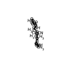 CC(CCOc1c(Cl)cc(C(C)(C)c2ccc(OCc3ccnc(NS(C)(=O)=O)n3)cc2)cc1C#N)C(=O)Nc1ccc2c(c1)C(=O)N(C1CCC(=O)NC1=O)C2=O